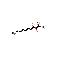 CCCCCCCC(O)C(O)C(C)C